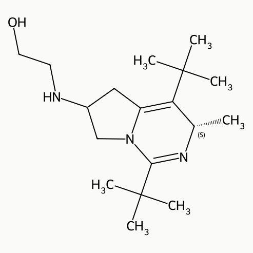 C[C@@H]1N=C(C(C)(C)C)N2CC(NCCO)CC2=C1C(C)(C)C